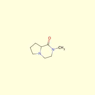 CN1CCN2CCCC2C1=O